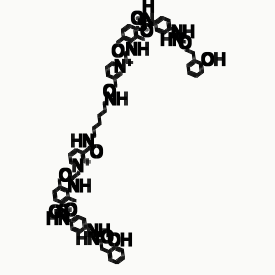 Cc1ccc(S(=O)(=O)Nc2ccc(NNOCCc3ccccc3O)cc2)c(C)c1NC(=O)C[n+]1cccc(CONCCCCCCNC(=O)c2ccc[n+](CC(=O)Nc3c(C)ccc(S(=O)(=O)Nc4ccc(NNC(=O)Cc5ccccc5O)cc4)c3C)c2)c1